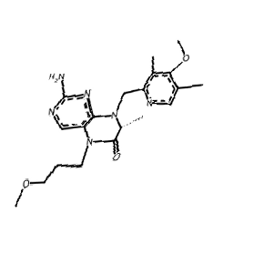 COCCCN1C(=O)[C@@H](C)N(Cc2ncc(C)c(OC)c2C)c2nc(N)ncc21